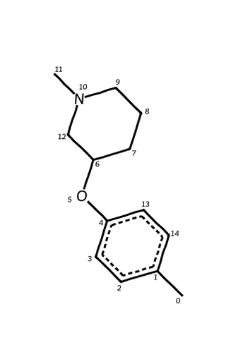 Cc1ccc(OC2CCCN(C)C2)cc1